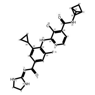 O=C(N=C1NCCN1)c1cc(F)c(Nc2nccc(C(=O)NC3C4CC3C4)c2Cl)c(C2CC2)c1